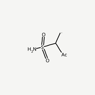 [CH2]C(C(C)=O)S(N)(=O)=O